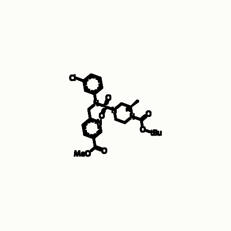 COC(=O)c1ccc(CN(c2cccc(Cl)c2)S(=O)(=O)N2CCN(C(=O)OC(C)(C)C)[C@H](C)C2)nc1